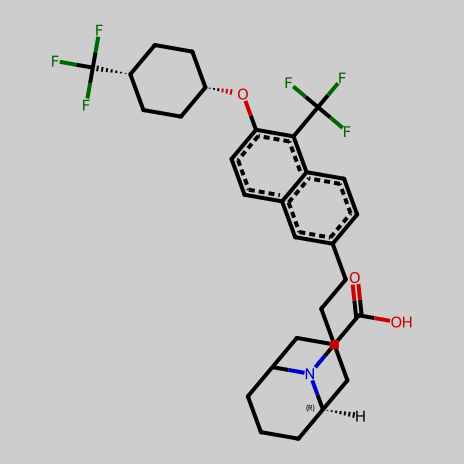 O=C(O)C1CC2CCC[C@H](C1)N2CCCc1ccc2c(C(F)(F)F)c(O[C@H]3CC[C@@H](C(F)(F)F)CC3)ccc2c1